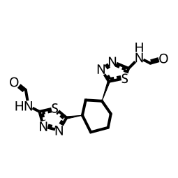 O=CNc1nnc([C@@H]2CCC[C@H](c3nnc(NC=O)s3)C2)s1